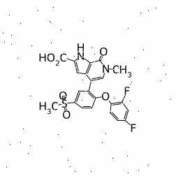 Cn1cc(-c2cc(S(C)(=O)=O)ccc2Oc2ccc(F)cc2F)c2cc(C(=O)O)[nH]c2c1=O